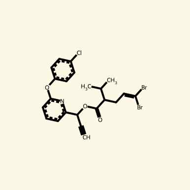 C#CC(OC(=O)C(CC=C(Br)Br)C(C)C)c1cccc(Oc2ccc(Cl)cc2)n1